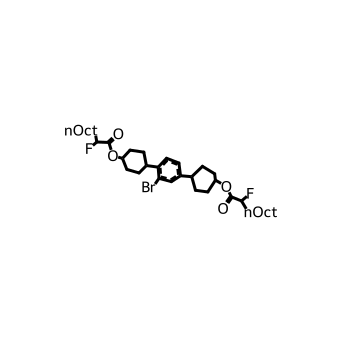 CCCCCCCCC(F)C(=O)OC1CCC(c2ccc(C3CCC(OC(=O)C(F)CCCCCCCC)CC3)c(Br)c2)CC1